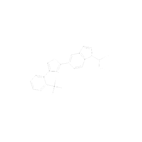 CC(C)n1ccc2cc(-c3nc(-c4ccccc4C(F)(F)F)cs3)ccc21